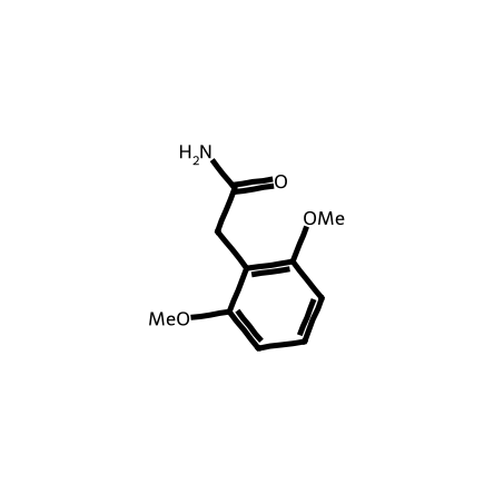 COc1cccc(OC)c1CC(N)=O